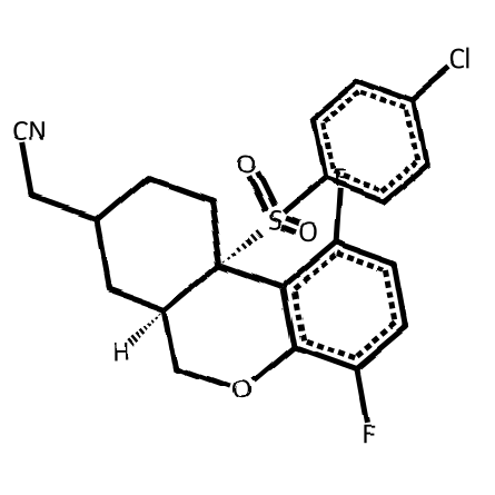 N#CCC1CC[C@@]2(S(=O)(=O)c3ccc(Cl)cc3)c3c(F)ccc(F)c3OC[C@H]2C1